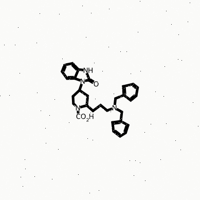 O=C(O)N1CCC(n2c(=O)[nH]c3ccccc32)CC1CCCN(Cc1ccccc1)Cc1ccccc1